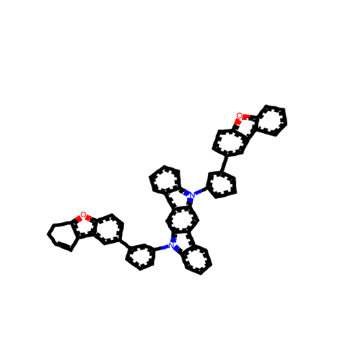 C1=Cc2c(oc3ccc(-c4cccc(-n5c6ccccc6c6cc7c(cc65)c5ccccc5n7-c5cccc(-c6ccc7oc8ccccc8c7c6)c5)c4)cc23)CC1